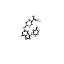 N=C(N)C1CCC(Nc2ccc3ncc(-c4cccc(Cl)c4)n3n2)CC1